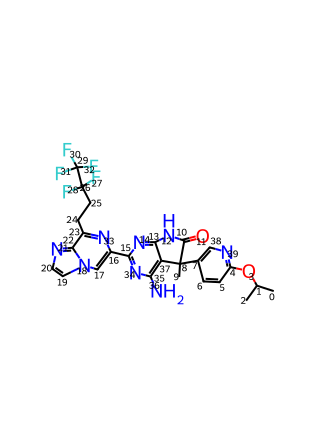 CC(C)Oc1ccc(C2(C)C(=O)Nc3nc(-c4cn5ccnc5c(CCC(F)(F)C(F)(F)F)n4)nc(N)c32)cn1